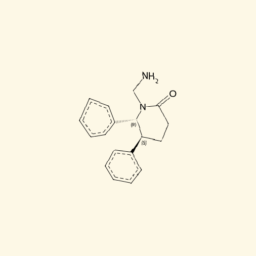 NCN1C(=O)CC[C@@H](c2ccccc2)[C@@H]1c1ccccc1